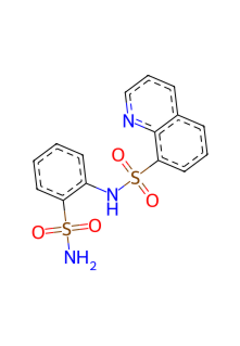 NS(=O)(=O)c1ccccc1NS(=O)(=O)c1cccc2cccnc12